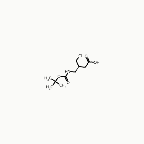 CC(C)(C)OC(=O)NC[C@@H](CCl)CC(=O)O